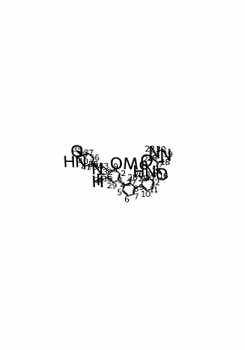 COc1cc(-c2cccc(-c3cccc(NC(=O)c4cncn(C)c4=O)c3C)c2C)cc(F)c1CN[C@@H]1CCC(=O)NC1